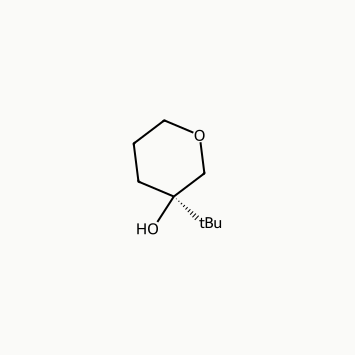 CC(C)(C)[C@]1(O)CCCOC1